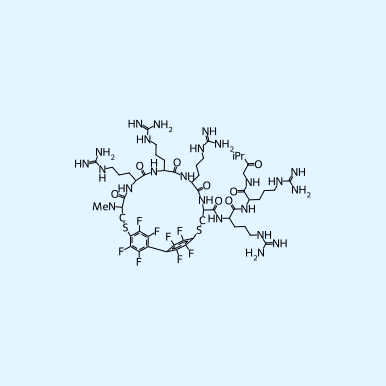 CNC1CSc2c(F)c(F)c(c(F)c2F)-c2c(F)c(F)c(c(F)c2F)SCC(C(=O)NC(CCCNC(=N)N)C(=O)NC(CCCNC(=N)N)C(=O)NCC(=O)C(C)C)NC(=O)C(CCCNC(=N)N)NC(=O)C(CCCNC(=N)N)NC(=O)C(CCCNC(=N)N)NC1=O